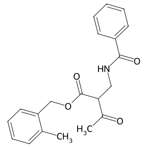 CC(=O)C(CNC(=O)c1ccccc1)C(=O)OCc1ccccc1C